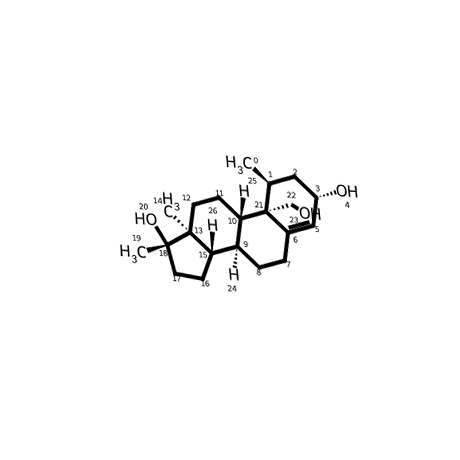 C[C@H]1C[C@H](O)C=C2CC[C@@H]3[C@H](CC[C@@]4(C)[C@H]3CC[C@]4(C)O)[C@]21CO